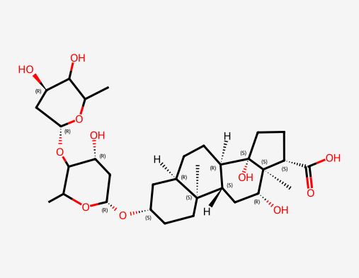 CC1O[C@H](OC2C(C)O[C@@H](O[C@H]3CC[C@@]4(C)[C@H](CC[C@@H]5[C@@H]4C[C@@H](O)[C@]4(C)[C@@H](C(=O)O)CC[C@]54O)C3)C[C@H]2O)C[C@@H](O)C1O